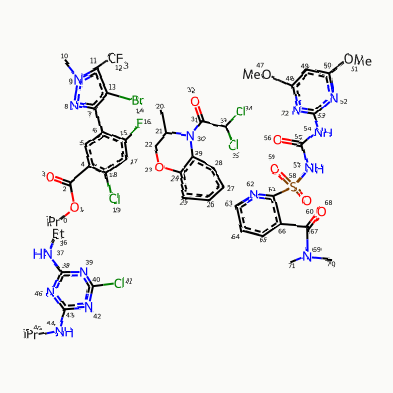 CC(C)OC(=O)c1cc(-c2nn(C)c(C(F)(F)F)c2Br)c(F)cc1Cl.CC1COc2ccccc2N1C(=O)C(Cl)Cl.CCNc1nc(Cl)nc(NC(C)C)n1.COc1cc(OC)nc(NC(=O)NS(=O)(=O)c2ncccc2C(=O)N(C)C)n1